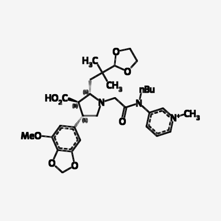 CCCCN(C(=O)CN1C[C@H](c2cc(OC)c3c(c2)OCO3)[C@@H](C(=O)O)[C@@H]1CC(C)(C)C1OCCO1)c1ccc[n+](C)c1